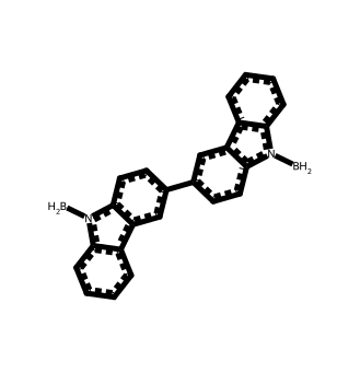 Bn1c2ccccc2c2cc(-c3ccc4c(c3)c3ccccc3n4B)ccc21